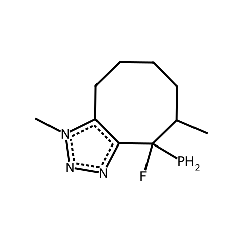 CC1CCCCc2c(nnn2C)C1(F)P